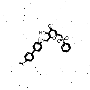 COc1ccc(-c2ccc(NCc3oc(CS(=O)(=O)c4ccccc4)cc(=O)c3O)cc2)cc1